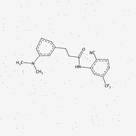 CN(C)c1cccc(CCC(=O)Nc2cc(C(F)(F)F)ccc2C#N)c1